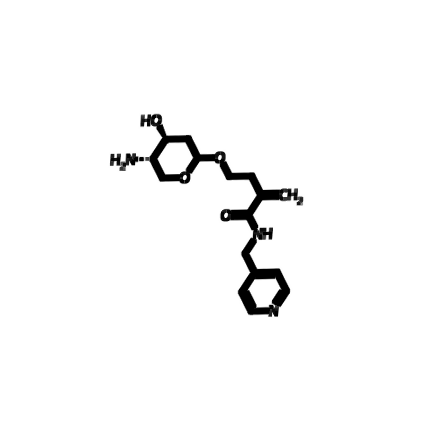 C=C(CCOC1C[C@H](O)[C@@H](N)CO1)C(=O)NCc1ccncc1